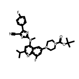 CC(C)c1cc(N(C)c2nc(-c3ccc(F)cc3)c(C#N)s2)c2cc(N3CCN(C(=O)OC(C)(C)C)CC3)cc(F)c2n1